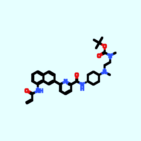 C=CC(=O)Nc1cccc2ccc(-c3cccc(C(=O)N[C@H]4CC[C@H](N(C)CCN(C)C(=O)OC(C)(C)C)CC4)n3)cc12